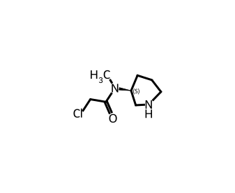 CN(C(=O)CCl)[C@H]1CCCNC1